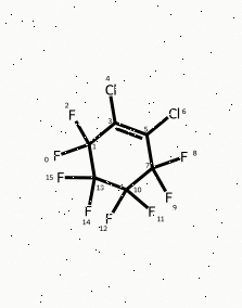 FC1(F)C(Cl)=C(Cl)C(F)(F)C(F)(F)C1(F)F